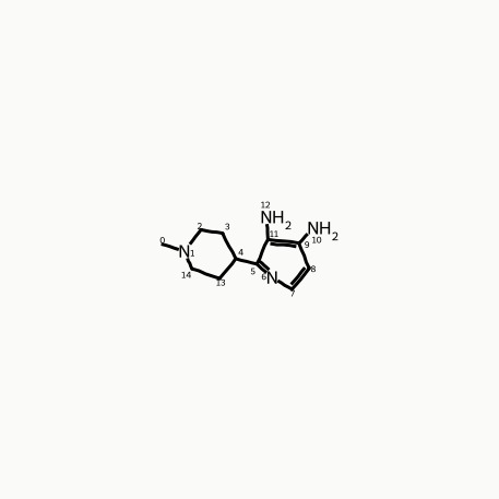 CN1CCC(c2nccc(N)c2N)CC1